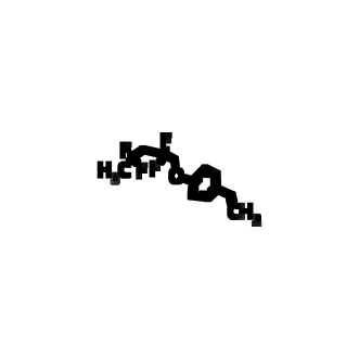 C=Cc1ccc(OCC(F)(F)CC(C)(F)F)cc1